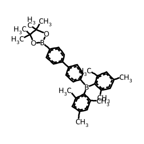 Cc1cc(C)c(B(c2ccc(-c3ccc(B4OC(C)(C)C(C)(C)O4)cc3)cc2)c2c(C)cc(C)cc2C)c(C)c1